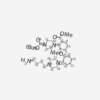 COC(=O)c1ccccc1N1CCN(C(=O)OC(C)(C)C)CC1.COc1ccccc1N1CCN(CCCCN)CC1